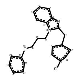 Clc1ccc(Cc2nc3ccccc3n2CCCOc2ccccc2)cc1